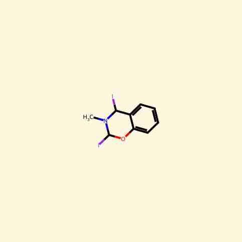 CN1C(I)Oc2ccccc2C1I